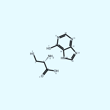 N[C@@H](CS)C(=O)O.Sc1ncnc2nc[nH]c12